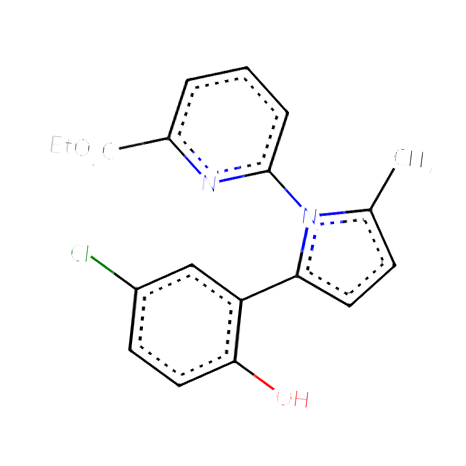 CCOC(=O)c1cccc(-n2c(C)ccc2-c2cc(Cl)ccc2O)n1